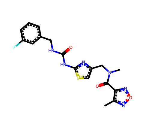 Cc1nonc1C(=O)N(C)Cc1csc(NC(=O)NCc2cccc(F)c2)n1